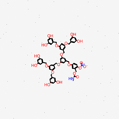 CNC(=O)OCc1cc(OCc2cc(OCc3cc(OCc4cc(O)cc(O)c4)cc(OCc4cc(O)cc(O)c4)c3)cc(OCc3cc(OCc4cc(O)cc(O)c4)cc(OCc4cc(O)cc(O)c4)c3)c2)ccc1O[N+](=O)[O-]